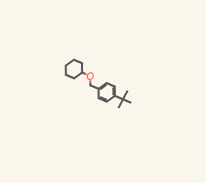 CC(C)(C)c1ccc(COC2CCCCC2)cc1